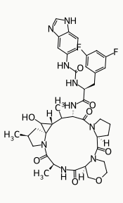 CC1[C@H]2C(O)[C@@]23C[C@H](C)CN3C(=O)[C@H](C)NC(=O)[C@@H]2COCCN2C(=O)[C@@H]2CCCN2C(=O)[C@H]1NC(=O)[C@H](Cc1cc(F)cc(F)c1)NC(=O)Nc1ccc2[nH]cnc2c1